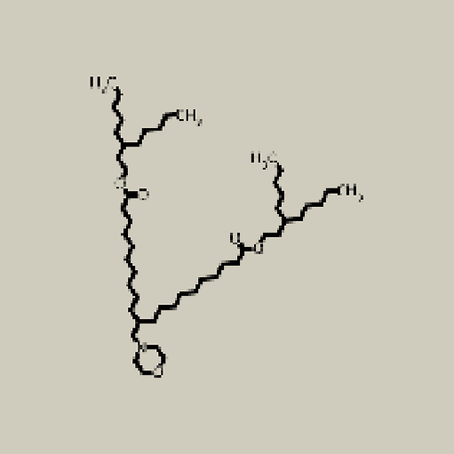 CCCCCC(CCCCC)CCOC(=O)CCCCCCCCCC(CCCCCCCCCC(=O)OCCC(CCCCC)CCCCC)CN1CCOCC1